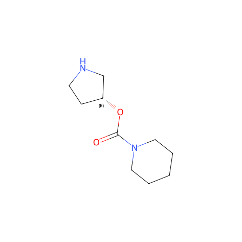 O=C(O[C@@H]1CCNC1)N1CCCCC1